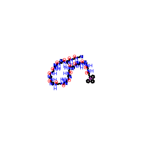 CN(C)CCCNC(=O)CCNC(=O)c1cc(NC(=O)c2cc(NC(=O)c3nc(NC(=O)CCNC(=O)c4cc(NC(=O)c5cc(NC(=O)CCCNC(=O)c6nc(NC(=O)c7cc(NC(=O)CCNC(=O)c8cc(NC(=O)c9cc(NC(=O)c%10nc(NC(=O)CCNC(=O)CCCC[P+](c%11ccccc%11)(c%11ccccc%11)c%11ccccc%11)cn%10C)cn9C)cn8C)cn7C)cn6C)cn5C)cn4C)cn3C)cn2C)cn1C